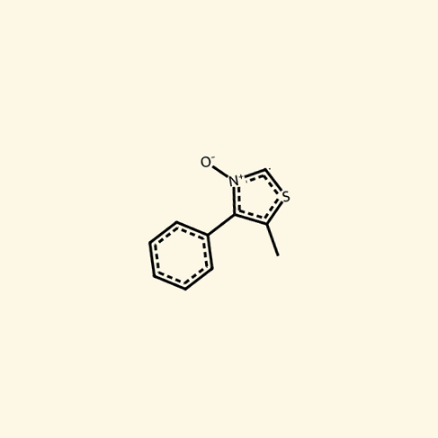 Cc1s[c][n+]([O-])c1-c1ccccc1